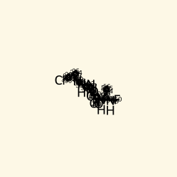 O=[N+]([O-])c1cc(S(=O)(=O)Nc2ncnc3cc(N4CCN(Cc5ccccc5-c5ccc(Cl)cc5)CC4)ccc23)ccc1NC(CCNCCF)CSc1ccccc1